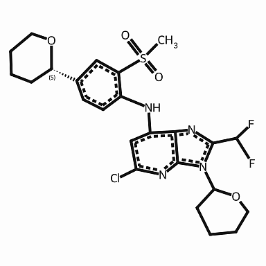 CS(=O)(=O)c1cc([C@@H]2CCCCO2)ccc1Nc1cc(Cl)nc2c1nc(C(F)F)n2C1CCCCO1